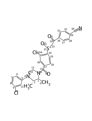 CC1[C@H](C)N(c2cccc(Cl)c2)CCN1C(=O)c1ccc([S+]([O-])CC(=O)c2ccc(C#N)cc2)c(Cl)c1